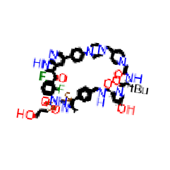 Cc1ncsc1-c1ccc(CNC(=O)[C@@H]2C[C@@H](O)CN2C(=O)[C@@H](NC(=O)CN2CCC(CN3CCN(c4ccc(-c5cnc6[nH]cc(C(=O)c7c(F)ccc(NS(=O)(=O)CCCO)c7F)c6c5)cc4)CC3)CC2)C(C)(C)C)cc1